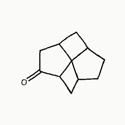 O=C1CC2CC3CCC4CC1C324